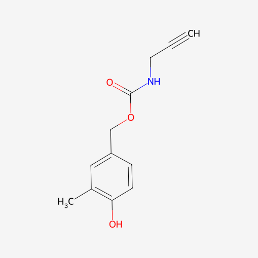 C#CCNC(=O)OCc1ccc(O)c(C)c1